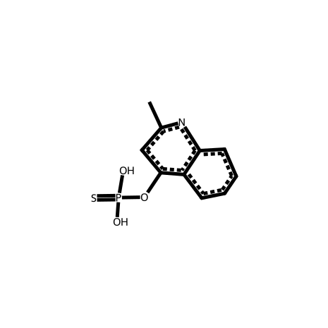 Cc1cc(OP(O)(O)=S)c2ccccc2n1